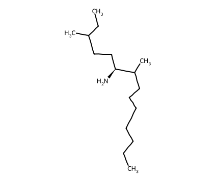 CCCCCCCC(C)[C@@H](N)CCC(C)CC